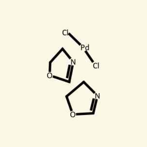 C1=NCCO1.C1=NCCO1.[Cl][Pd][Cl]